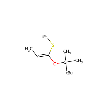 CC=C(O[Si](C)(C)C(C)(C)C)SC(C)C